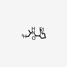 [3H]CC(C)NC(=O)C1CCCN1CC